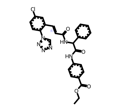 CCOC(=O)c1ccc(NC(=O)C(NC(=O)/C=C/c2cc(Cl)ccc2-n2cnnn2)c2ccccc2)cc1